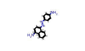 Nc1ccc(N=Nc2ccc(N)c3ccccc23)cc1